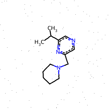 CC(C)c1cncc(CN2CCCCC2)n1